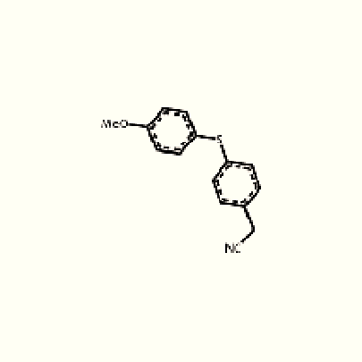 COc1ccc(Sc2ccc(CC#N)cc2)cc1